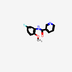 COc1ccc(F)cc1NC(=O)c1cccnc1